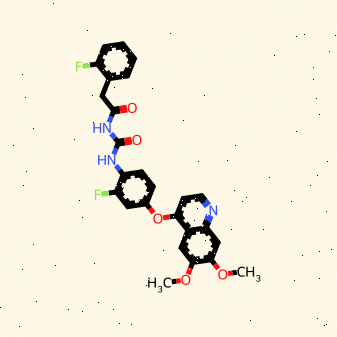 COc1cc2nccc(Oc3ccc(NC(=O)NC(=O)Cc4ccccc4F)c(F)c3)c2cc1OC